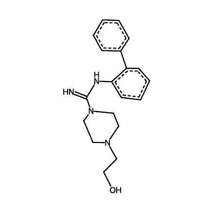 N=C(Nc1ccccc1-c1ccccc1)N1CCN(CCO)CC1